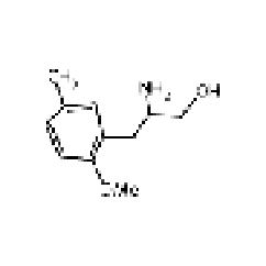 COc1ccc(C)cc1CC(N)CO